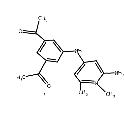 CC(=O)c1cc(Nc2cc(C)[n+](C)c(N)c2)cc(C(C)=O)c1.[I-]